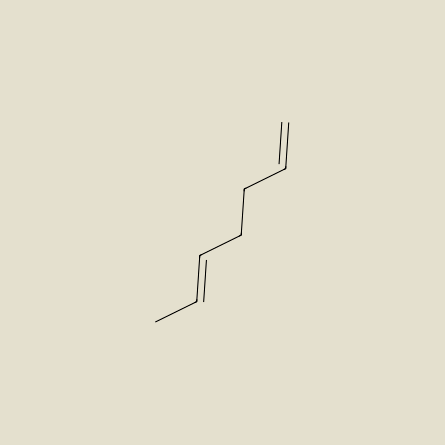 C=CCCC=CC